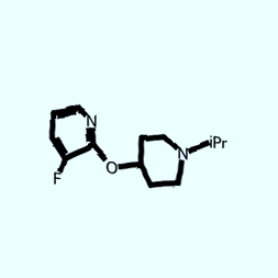 CC(C)N1CCC(Oc2ncccc2F)CC1